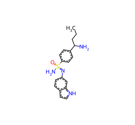 CCCC(N)c1ccc(S(N)(=O)=Nc2ccc3cc[nH]c3c2)cc1